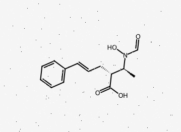 C[C@@H]([C@@H](CC=Cc1ccccc1)C(=O)O)N(O)C=O